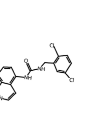 O=C(NCc1cc(Cl)ccc1Cl)Nc1cccc2cnccc12